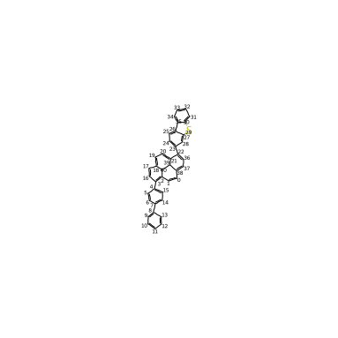 C1=CC2=C(c3ccc(-c4ccccc4)cc3)C=CC3=CC=C4C(c5ccc6c(c5)sc5ccccc56)=CC=C1C4C32